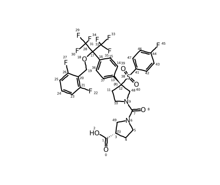 O=C(O)[C@H]1CCN(C(=O)N2CC[C@](c3ccc(C(OCc4c(F)cccc4F)(C(F)(F)F)C(F)(F)F)cc3)(S(=O)(=O)c3ccc(F)cc3)C2)C1